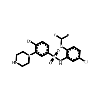 CCc1ccc(S(=O)(=O)Nc2cc(Cl)ccc2OC(F)F)cc1N1CCNCC1